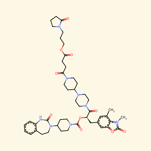 Cc1cc(C[C@@H](OC(=O)N2CCC(N3CCc4ccccc4NC3=O)CC2)C(=O)N2CCN(C3CCN(C(=O)CCC(=O)OCCCN4CCCC4=O)CC3)CC2)cc2oc(=O)n(C)c12